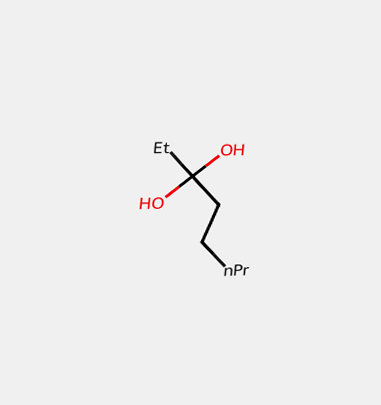 [CH2]CCCCC(O)(O)CC